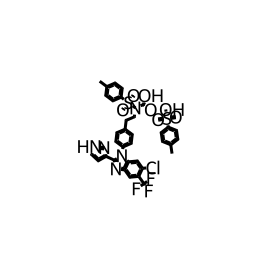 Cc1ccc(S(=O)(=O)N(CCc2ccc(-n3c(-c4cc[nH]n4)nc4cc(C(F)(F)F)c(Cl)cc43)cc2)C(=O)O)cc1.Cc1ccc(S(=O)(=O)O)cc1